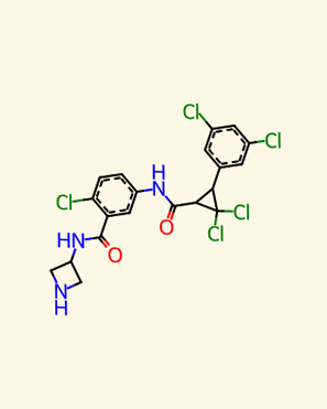 O=C(NC1CNC1)c1cc(NC(=O)C2C(c3cc(Cl)cc(Cl)c3)C2(Cl)Cl)ccc1Cl